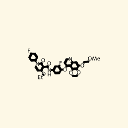 CCOc1ccn(-c2ccc(F)cc2)c(=O)c1C(=O)Nc1ccc(Oc2ccnc3cc(OCCOC)c4c(c23)OCCO4)c(F)c1